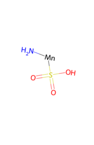 [NH2][Mn][S](=O)(=O)O